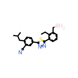 BCc1cccc(-c2nnc(-c3ccc(CC(C)C)c(C#N)c3)s2)c1CC